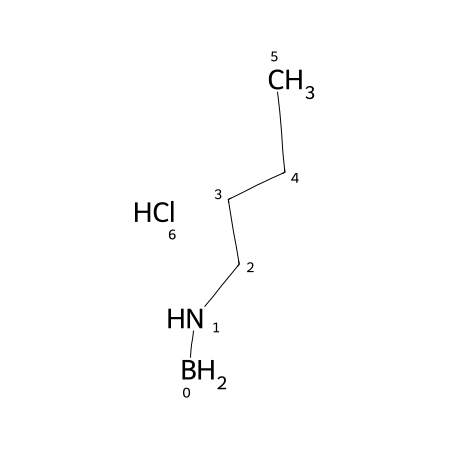 BNCCCC.Cl